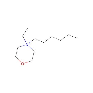 CCCCCC[N+]1(CC)CCOCC1